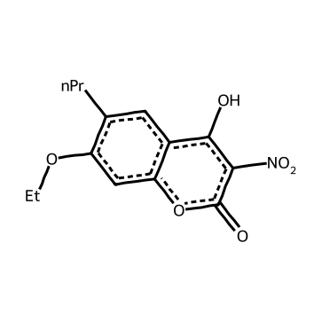 CCCc1cc2c(O)c([N+](=O)[O-])c(=O)oc2cc1OCC